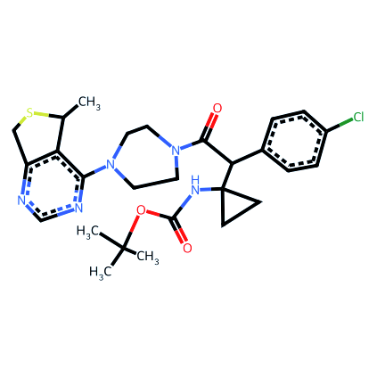 CC1SCc2ncnc(N3CCN(C(=O)C(c4ccc(Cl)cc4)C4(NC(=O)OC(C)(C)C)CC4)CC3)c21